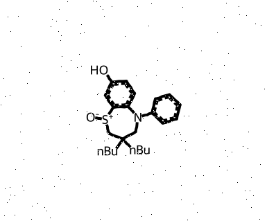 CCCCC1(CCCC)CN(c2ccccc2)c2ccc(O)cc2[S+]([O-])C1